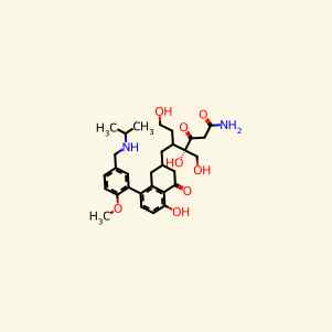 COc1ccc(CNC(C)C)cc1-c1ccc(O)c2c1CC(CC(CCO)[C@](O)(CO)C(=O)CC(N)=O)CC2=O